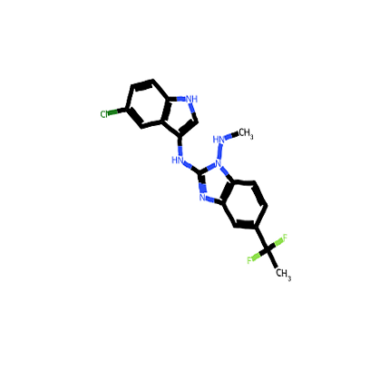 CNn1c(Nc2c[nH]c3ccc(Cl)cc23)nc2cc(C(C)(F)F)ccc21